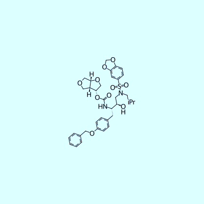 CC(C)CN(C[C@@H](O)[C@H](Cc1ccc(OCc2ccccc2)cc1)NC(=O)O[C@H]1CO[C@H]2COC[C@H]21)S(=O)(=O)c1ccc2c(c1)OCO2